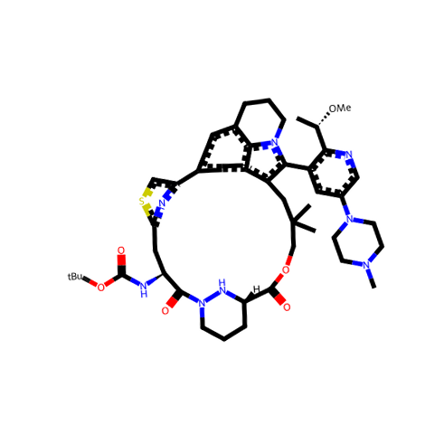 CO[C@@H](C)c1ncc(N2CCN(C)CC2)cc1-c1c2c3cc(cc4c3n1CCC4)-c1csc(n1)C[C@H](NC(=O)OC(C)(C)C)C(=O)N1CCC[C@H](N1)C(=O)OCC(C)(C)C2